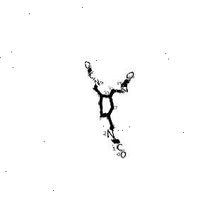 O=C=NCC1CCC(CN=C=O)C(CN=C=O)C1